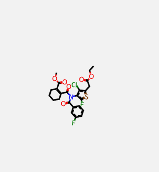 CCOC(=O)Cc1sc(F)c(N(C(=O)C2=C(C(=O)OC)CCCC2)C(=O)c2cccc(F)c2)c1Cl